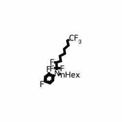 CCCCCCN(c1ccc(F)cc1F)C(F)(F)C(F)CCCCCCC(F)(F)F